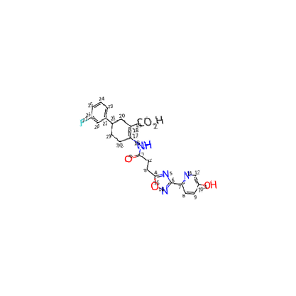 O=C(CCc1nc(-c2ccc(O)cn2)no1)NC1=C(C(=O)O)CC(c2cccc(F)c2)CC1